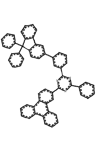 c1ccc(-c2nc(-c3cccc(-c4ccc5c(c4)-c4ccccc4C5(c4ccccc4)c4ccccc4)c3)nc(-c3ccc4c5ccccc5c5ccccc5c4c3)n2)cc1